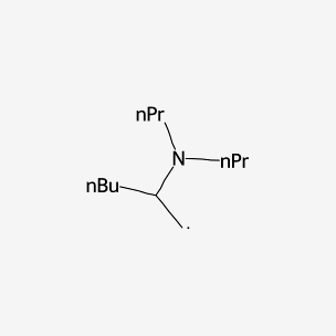 [CH2]C(CCCC)N(CCC)CCC